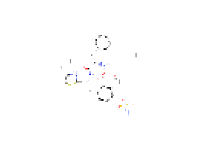 CCc1csc(C(Cc2ccc(OS(N)(=O)=O)cc2)NC(=O)C(Cc2ccccc2)NC(=O)OC)n1.[NaH]